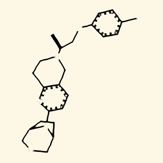 O=C(COc1ccc(F)cc1)N1CCc2nc(N3C4CCC3CNC4)ccc2C1